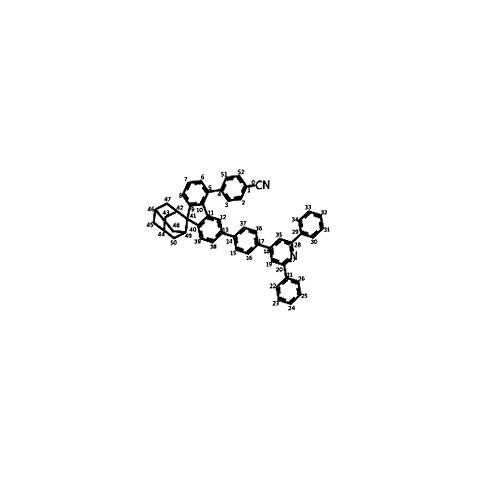 N#Cc1ccc(-c2cccc3c2-c2cc(-c4ccc(-c5cc(-c6ccccc6)nc(-c6ccccc6)c5)cc4)ccc2C32C3CC4CC(C3)CC2C4)cc1